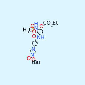 CCOC(=O)COc1ccc(NC(=O)c2ccc(N3CCN(C(=O)OC(C)(C)C)CC3)cc2)cc1NS(C)(=O)=O